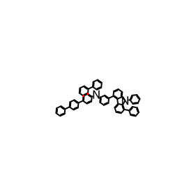 c1ccc(-c2ccc(-c3ccc(N(c4cccc(-c5cccc6c5c5cccc(-c7ccccc7)c5n6-c5ccccc5)c4)c4ccccc4-c4ccccc4)cc3)cc2)cc1